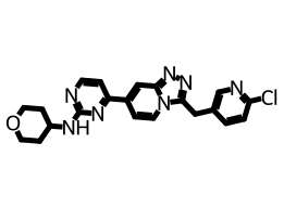 Clc1ccc(Cc2nnc3cc(-c4ccnc(NC5CCOCC5)n4)ccn23)cn1